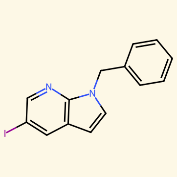 Ic1cnc2c(ccn2Cc2ccccc2)c1